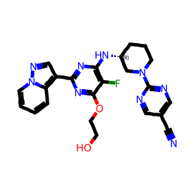 N#Cc1cnc(N2CCC[C@@H](Nc3nc(-c4cnn5ccccc45)nc(OCCO)c3F)C2)nc1